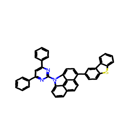 c1ccc(-c2cc(-c3ccccc3)nc(-n3c4cccc5ccc6c(-c7ccc8sc9ccccc9c8c7)ccc3c6c54)n2)cc1